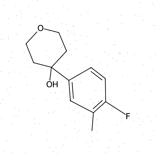 Cc1cc(C2(O)CCOCC2)ccc1F